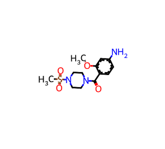 COc1cc(N)ccc1C(=O)N1CCN(S(C)(=O)=O)CC1